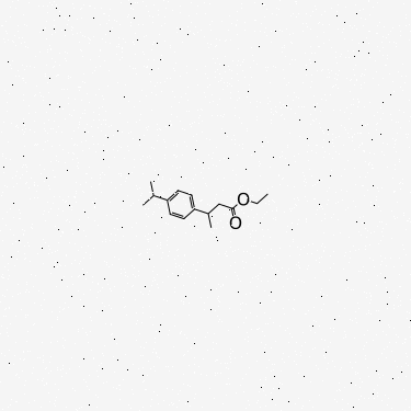 CCOC(=O)CC(C)c1ccc(C(C)C)cc1